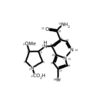 COC1CN(C(=O)O)CC1Nc1c(C(N)=O)cnn2cc(Br)cc12